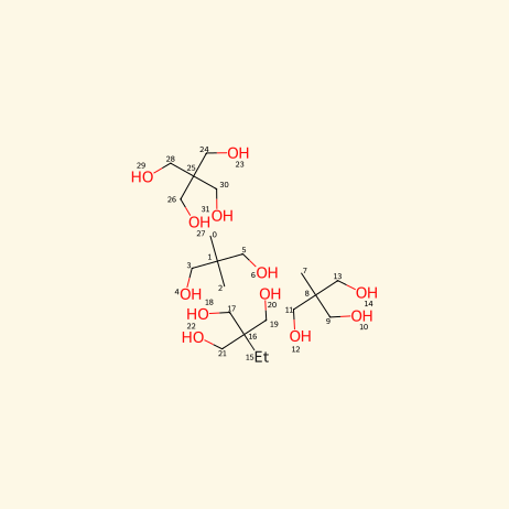 CC(C)(CO)CO.CC(CO)(CO)CO.CCC(CO)(CO)CO.OCC(CO)(CO)CO